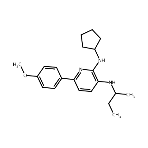 CCC(C)Nc1ccc(-c2ccc(OC)cc2)nc1NC1CCCC1